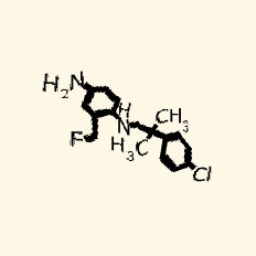 CC(C)(CNc1ccc(N)cc1CF)c1ccc(Cl)cc1